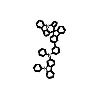 c1ccc(N(c2cccc(-c3ccc4c(c3)-c3ccccc3C43c4ccccc4-n4c5ccccc5c5cccc3c54)c2)c2ccc3c4ccccc4n(-c4ccccc4)c3c2)cc1